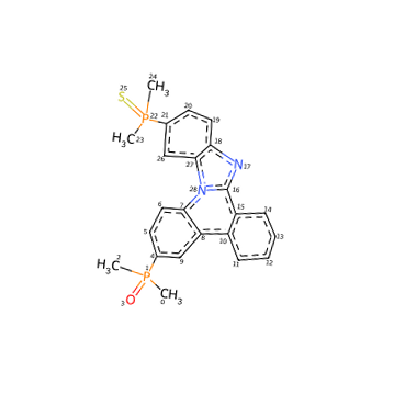 CP(C)(=O)c1ccc2c(c1)c1ccccc1c1nc3ccc(P(C)(C)=S)cc3n21